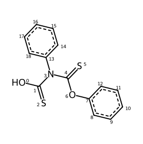 OC(=S)N(C(=S)Oc1ccccc1)c1ccccc1